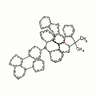 CC1(C)c2ccccc2-c2c(-c3ccccc3N(c3ccc(-c4cccc5cccc(-c6ccccc6)c45)cc3)c3ccccc3-c3ccc4sc5ccccc5c4c3)cccc21